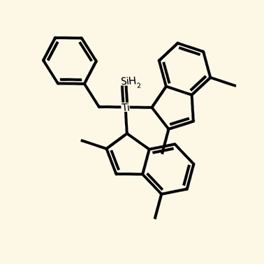 CC1=Cc2c(C)cccc2[CH]1[Ti](=[SiH2])([CH2]c1ccccc1)[CH]1C(C)=Cc2c(C)cccc21